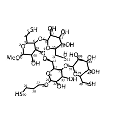 COC1OC(CS)C(OC2OC(CS)C(O)C(O)C2O)C(OOCC2OC(OCCCS)C(O)C(O)C2OC2OC(CS)C(O)C(O)C2O)C1O